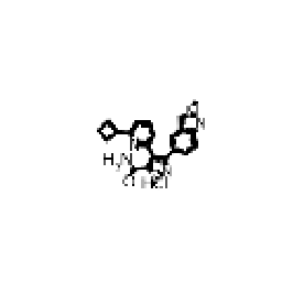 Cl.Cn1cc2cc(-c3nsc(C(N)=O)c3-c3cccc(C4CCC4)n3)ccc2n1